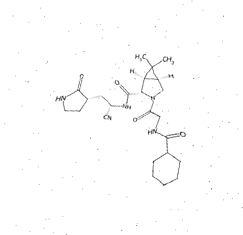 CC1(C)[C@@H]2[C@@H](C(=O)N[C@H](C#N)C[C@@H]3CCNC3=O)N(C(=O)CNC(=O)C3CCCCC3)C[C@@H]21